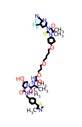 Cc1ncsc1-c1ccc(CNC(=O)[C@@H]2C[C@@H](O)CN2C(=O)C(NC(=O)COCCCOCCCCCOc2ccc(N3C(=S)N(c4cnc(C#N)c(C(F)(F)F)c4)C(=O)C3(C)C)cc2)C(C)(C)C)cc1